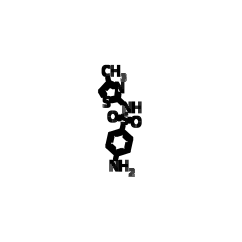 Cc1csc(NS(=O)(=O)c2ccc(N)cc2)n1